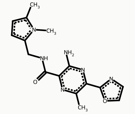 Cc1nc(C(=O)NCc2ccc(C)n2C)c(N)nc1-c1ncco1